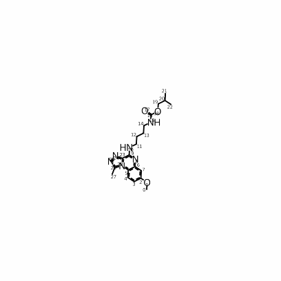 COc1ccc2c(c1)nc(NCCCCNC(=O)OCC(C)C)c1nnc(C)n12